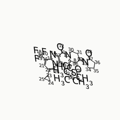 CC(C)(C)[Si](C)(C)O[C@@H]1CN(C(=O)c2nc3c(C(F)(F)F)cc(C4CC4)cn3c2Cl)CC[C@@H]1N1CCCC1=O